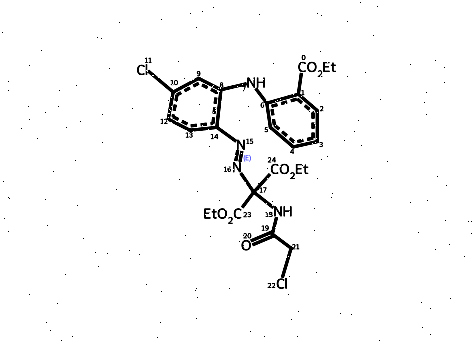 CCOC(=O)c1ccccc1Nc1cc(Cl)ccc1/N=N/C(NC(=O)CCl)(C(=O)OCC)C(=O)OCC